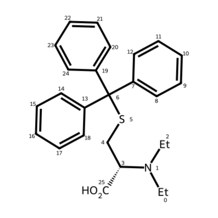 CCN(CC)[C@@H](CSC(c1ccccc1)(c1ccccc1)c1ccccc1)C(=O)O